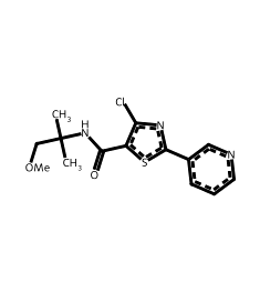 COCC(C)(C)NC(=O)c1sc(-c2cccnc2)nc1Cl